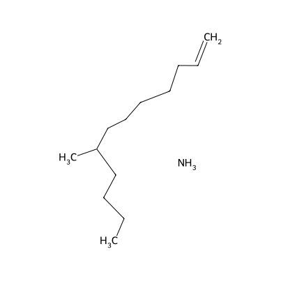 C=CCCCCCC(C)CCCC.N